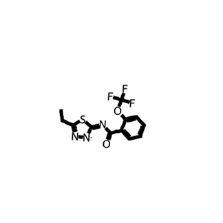 CCC1=N[N]C(=NC(=O)c2ccccc2OC(F)(F)F)S1